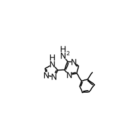 Cc1ccccc1-c1cnc(N)c(-c2nnc[nH]2)n1